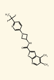 Cc1cnc2sc(C(=O)NC3CN(c4ccc(C(C)(F)F)nc4)C3)cc2c1C